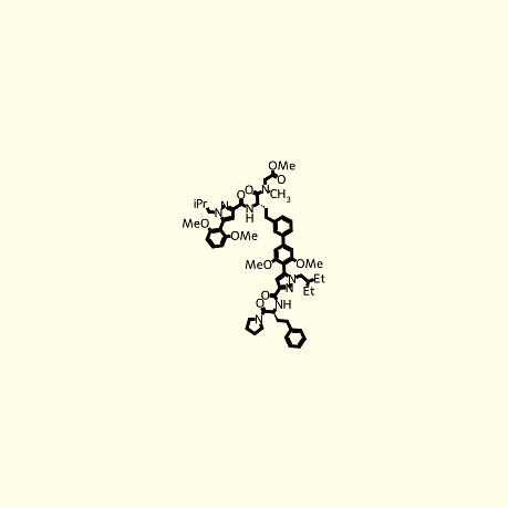 CCC(CC)Cn1nc(C(=O)N[C@@H](CCc2ccccc2)C(=O)N2CCCC2)cc1-c1c(OC)cc(-c2cccc(CC[C@H](NC(=O)c3cc(-c4c(OC)cccc4OC)n(CC(C)C)n3)C(=O)N(C)CC(=O)OC)c2)cc1OC